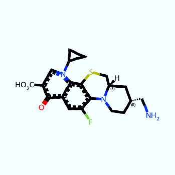 NC[C@@H]1CCN2c3c(F)cc4c(=O)c(C(=O)O)cn(C5CC5)c4c3SC[C@@H]2C1